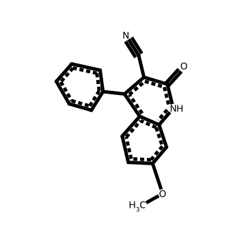 COc1ccc2c(-c3ccccc3)c(C#N)c(=O)[nH]c2c1